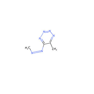 C/N=N\c1nnnnc1C